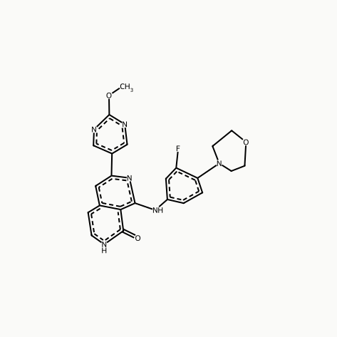 COc1ncc(-c2cc3cc[nH]c(=O)c3c(Nc3ccc(N4CCOCC4)c(F)c3)n2)cn1